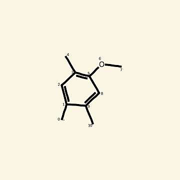 [CH2]c1cc(C)c(OC)cc1C